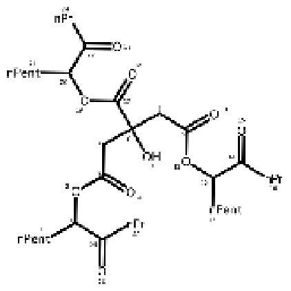 CCCCCC(OC(=O)CC(O)(CC(=O)OC(CCCCC)C(=O)CCC)C(=O)OC(CCCCC)C(=O)CCC)C(=O)CCC